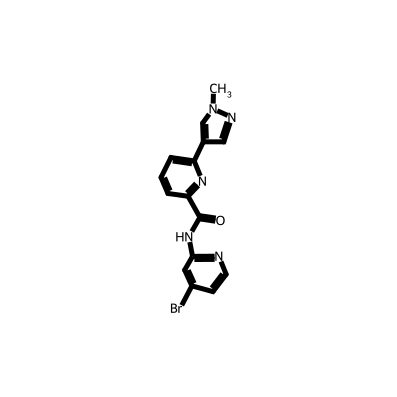 Cn1cc(-c2cccc(C(=O)Nc3cc(Br)ccn3)n2)cn1